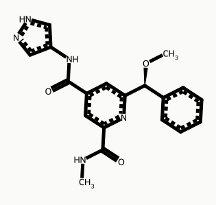 CNC(=O)c1cc(C(=O)Nc2cn[nH]c2)cc([C@@H](OC)c2ccccc2)n1